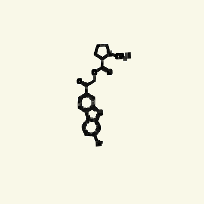 O=C(COC(=O)C1CCCN1C(=O)O)c1ccc2c(c1)oc1cc(Br)ccc12